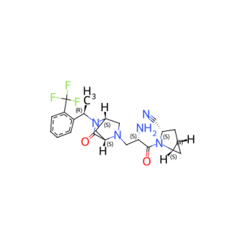 C[C@H](c1ccccc1C(F)(F)F)N1C(=O)[C@@H]2C[C@H]1CN2C[C@H](N)C(=O)N1[C@H](C#N)C[C@@H]2C[C@@H]21